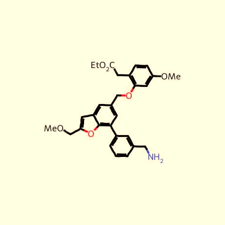 CCOC(=O)Cc1ccc(OC)cc1OCc1cc(-c2cccc(CN)c2)c2oc(COC)cc2c1